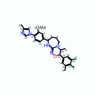 COc1cc(C2CCCN3C(=NOC(c4cc(C)c(F)c(F)c4)C3C)N2)ccc1-n1cnc(C)c1